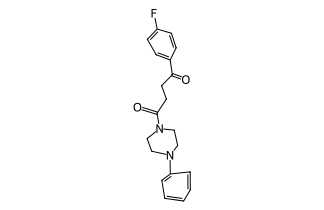 O=C(CCC(=O)N1CCN(c2ccccc2)CC1)c1ccc(F)cc1